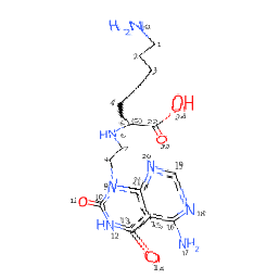 NCCCC[C@H](NCCn1c(=O)[nH]c(=O)c2c(N)ncnc21)C(=O)O